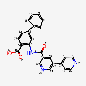 O=C(Nc1cc(-c2ccccc2)ccc1C(=O)O)c1cncc(-c2ccncc2)c1